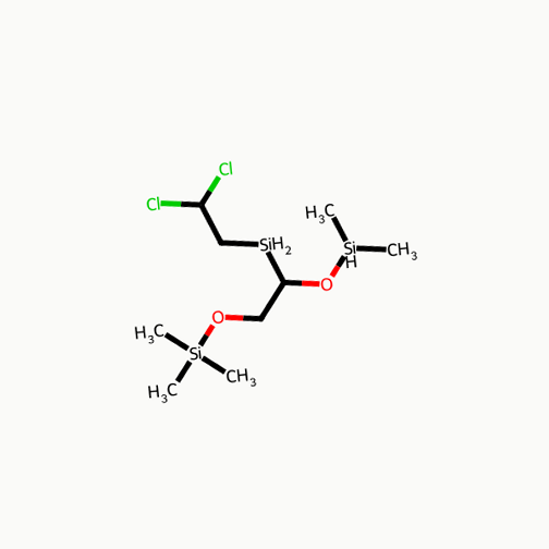 C[SiH](C)OC(CO[Si](C)(C)C)[SiH2]CC(Cl)Cl